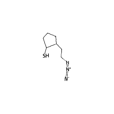 [N-]=[N+]=NCCC1CCCC1S